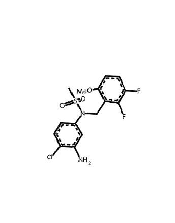 COc1ccc(F)c(F)c1CN(c1ccc(Cl)c(N)c1)S(C)(=O)=O